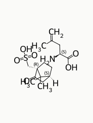 C=C(C)C[C@H](N)C(=O)O.CC1(C)[C@H]2CC[C@]1(CS(=O)(=O)O)C(=O)C2